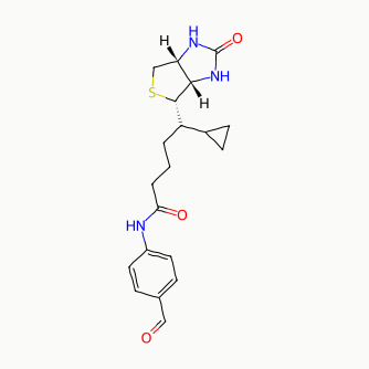 O=Cc1ccc(NC(=O)CCCC(C2CC2)[C@@H]2SC[C@@H]3NC(=O)N[C@@H]32)cc1